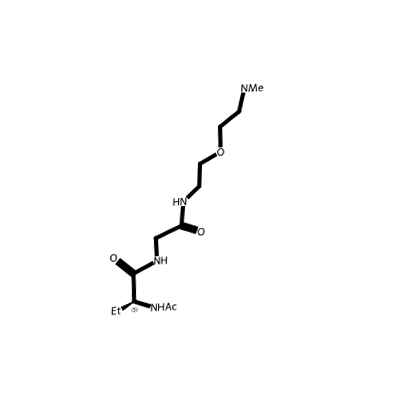 CC[C@H](NC(C)=O)C(=O)NCC(=O)NCCOCCNC